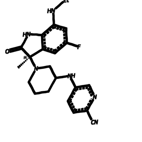 CCNc1cc(F)cc2c1NC(=O)[C@]2(C)N1CCCC(Nc2ccc(C#N)nc2)C1